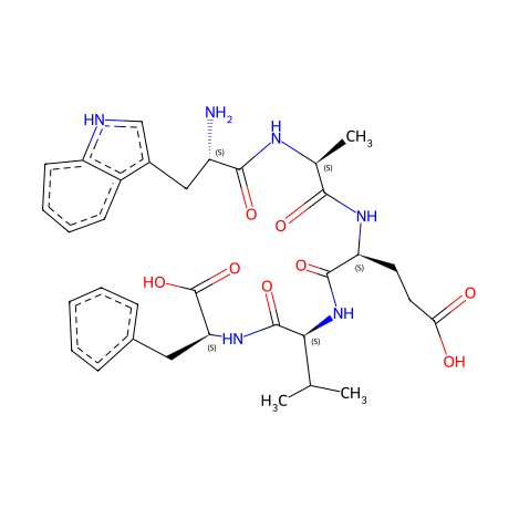 CC(C)[C@H](NC(=O)[C@H](CCC(=O)O)NC(=O)[C@H](C)NC(=O)[C@@H](N)Cc1c[nH]c2ccccc12)C(=O)N[C@@H](Cc1ccccc1)C(=O)O